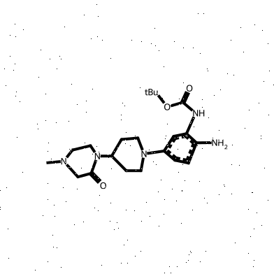 CN1CCN(C2CCN(c3ccc(N)c(NC(=O)OC(C)(C)C)c3)CC2)C(=O)C1